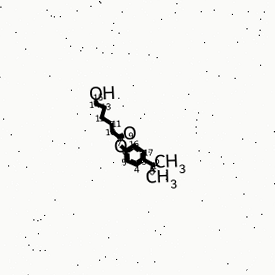 CC(C)c1ccc(OC(=O)CCCCCO)cc1